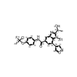 CCn1c([C@H](C)O)nc2cc(C(=O)Nc3ccc(OC(F)(F)Cl)cc3)cc(-c3cnoc3)c21